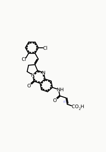 O=C(O)/C=C/C(=O)Nc1ccc2c(=O)n3c(nc2c1)C(=Cc1c(Cl)cccc1Cl)CC3